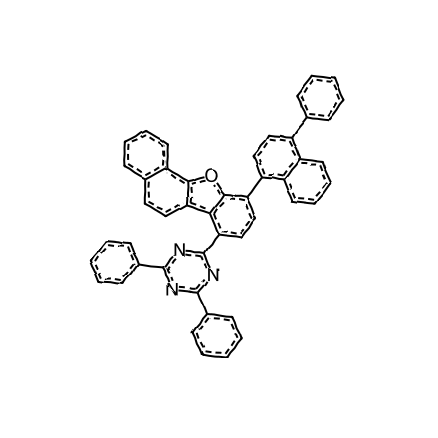 c1ccc(-c2nc(-c3ccccc3)nc(-c3ccc(-c4ccc(-c5ccccc5)c5ccccc45)c4oc5c6ccccc6ccc5c34)n2)cc1